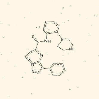 O=C(Nc1ccccc1N1CCNCC1)c1ccn2ncc(-c3ccccc3)c2n1